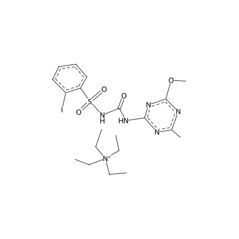 CC[N+](CC)(CC)CC.COc1nc(C)nc(NC(=O)NS(=O)(=O)c2ccccc2I)n1